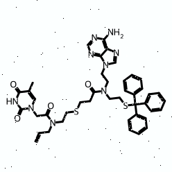 C=CCN(CCSCCC(=O)N(CCSC(c1ccccc1)(c1ccccc1)c1ccccc1)CCn1cnc2c(N)ncnc21)C(=O)Cn1cc(C)c(=O)[nH]c1=O